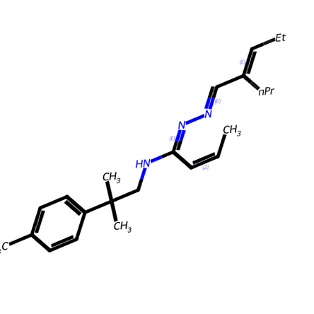 C\C=C/C(=N\N=C\C(=C\CC)CCC)NCC(C)(C)c1ccc(C)cc1